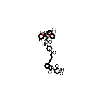 O=C1CCC(N2Cc3c(C#CCCC(=O)N4CCC(NC(=O)[C@@H]5NC6(CCCCC6)[C@@]6(C(=O)Nc7cc(Cl)ccc76)[C@H]5c5cccc(Cl)c5F)CC4)cccc3C2=O)C(=O)N1